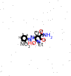 CCn1c(O)c(/N=N/c2ccccc2[N+](=O)[O-])c(C)c(C(N)=O)c1=O